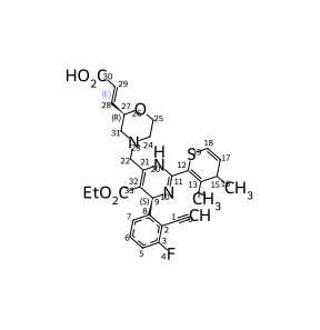 C#Cc1c(F)cccc1[C@@H]1N=C(C2=C(C)C(C)C=CS2)NC(CN2CCO[C@H](/C=C/C(=O)O)C2)=C1C(=O)OCC